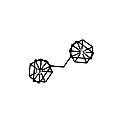 C([C]12[CH]3[CH]4[CH]5[CH]1[Fe]45321678[CH]2[CH]1[CH]6[CH]7[CH]28)[C]12[CH]3[CH]4[CH]5[CH]1[Fe]45321678[CH]2[CH]1[CH]6[CH]7[CH]28